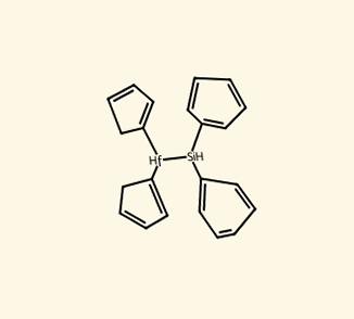 C1=CC[C]([Hf]([C]2=CC=CC2)[SiH](c2ccccc2)c2ccccc2)=C1